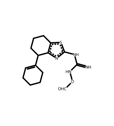 N=C(NOC=O)Nc1nc2c(s1)CCCC2C1=CCCCC1